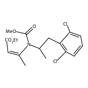 CCOC(=O)/C=C(/C)N(C(=O)OC)C(C)Cc1c(Cl)cccc1Cl